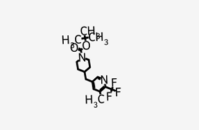 Cc1cc(CC2CCN(C(=O)OC(C)(C)C)CC2)cnc1C(F)(F)F